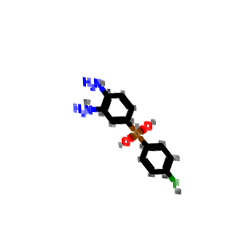 Nc1ccc(S(=O)(=O)c2ccc(F)cc2)cc1N